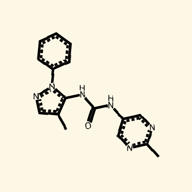 Cc1ncc(NC(=O)Nc2c(C)cnn2-c2ccccc2)cn1